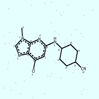 Cn1cnc2c(Cl)cc(NC3CCC(C#N)CC3)nc21